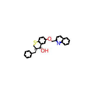 O[C@H]1c2cc(OCc3ccc4ccccc4n3)ccc2SC[C@@H]1Cc1ccccc1